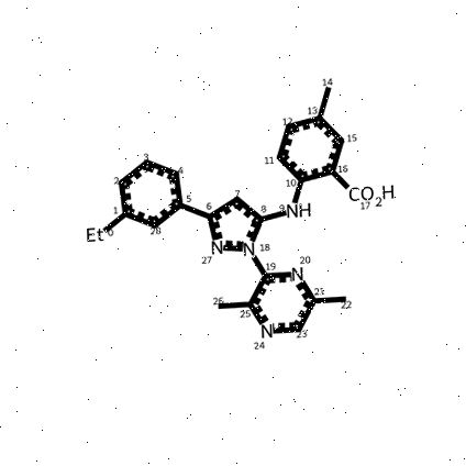 CCc1cccc(-c2cc(Nc3ccc(C)cc3C(=O)O)n(-c3nc(C)cnc3C)n2)c1